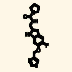 O=C(NCc1cc2cc(F)c(OCc3cscn3)cc2[nH]1)N1CCCC1